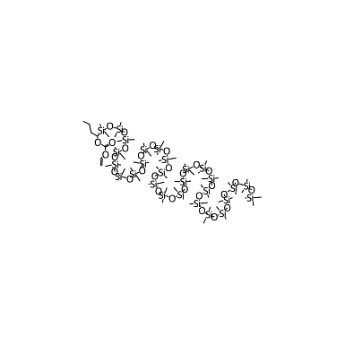 C=COC(=O)OC(CCC)[Si](C)(C)O[Si](C)(C)O[Si](C)(C)O[Si](C)(C)O[Si](C)(C)O[Si](C)(C)O[Si](C)(C)O[Si](C)(C)O[Si](C)(C)O[Si](C)(C)O[Si](C)(C)O[Si](C)(C)O[Si](C)(C)O[Si](C)(C)O[Si](C)(C)O[Si](C)(C)O[Si](C)(C)O[Si](C)(C)O[Si](C)(C)O[Si](C)(C)O[Si](C)(C)O[Si](C)(C)O[Si](C)(C)O[Si](C)(C)O[Si](C)(C)O[Si](C)(C)O[Si](C)(C)C